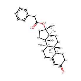 CCC[C@]1(OC(=O)Cc2ccccc2)CC[C@H]2[C@@H]3CCC4=CC(=O)CC[C@]4(C)[C@H]3CC[C@@]21C